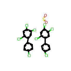 Clc1ccc(-c2cc(Cl)c(Cl)cc2Cl)cc1.Clc1ccc(-c2cc(Cl)c(Cl)cc2Cl)cc1.O=S=O